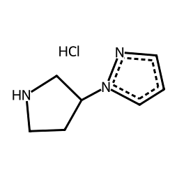 Cl.c1cnn(C2CCNC2)c1